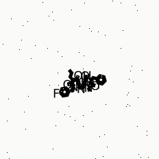 CCCc1c(O)n2c3c(=O)n(Cc4ccccc4)c(=O)n(C)c3nc2n(Cc2ccc(F)cc2)c1=O